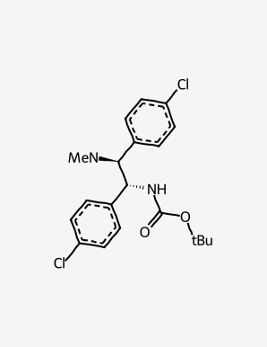 CN[C@@H](c1ccc(Cl)cc1)[C@H](NC(=O)OC(C)(C)C)c1ccc(Cl)cc1